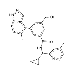 Cc1ccnc(C(NC(=O)c2cc(CO)cc(-c3c(C)ccc4[nH]ncc34)c2)C2CC2)c1